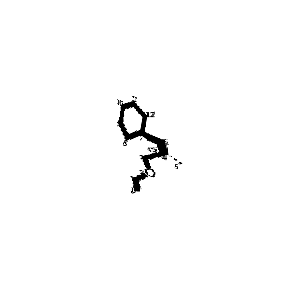 CCOC[C@@H](C)CC1CCCCC1